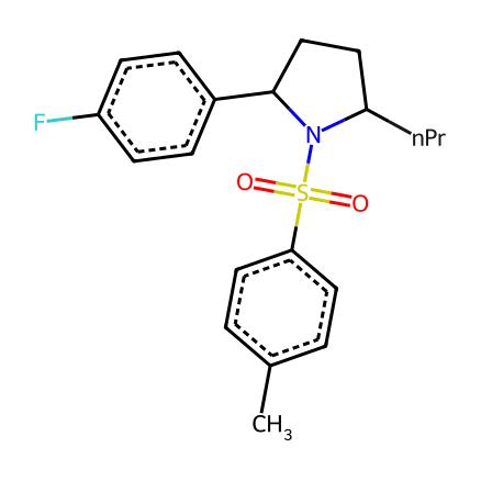 [CH2]CCC1CCC(c2ccc(F)cc2)N1S(=O)(=O)c1ccc(C)cc1